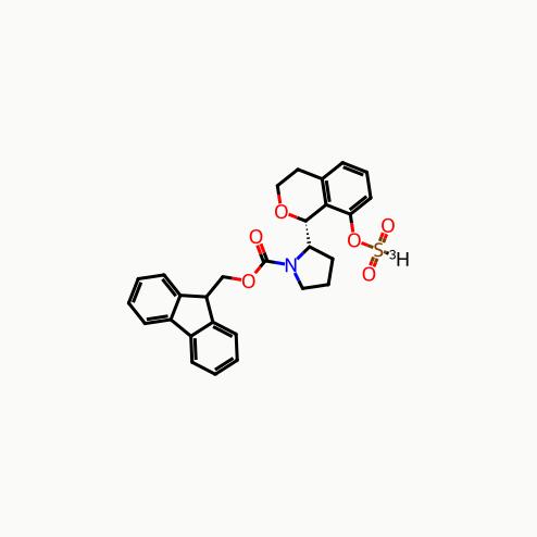 [3H]S(=O)(=O)Oc1cccc2c1[C@H](C1CCCN1C(=O)OCC1c3ccccc3-c3ccccc31)OCC2